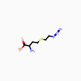 [N-]=[N+]=NCCSCCC(N)C(=O)O